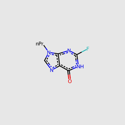 CCCn1cnc2c(=O)[nH]c(F)nc21